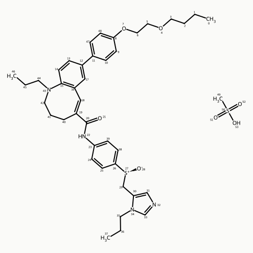 CCCCOCCOc1ccc(-c2ccc3c(c2)/C=C(/C(=O)Nc2ccc([S@@+]([O-])Cc4cncn4CCC)cc2)CCCN3CCC)cc1.CS(=O)(=O)O